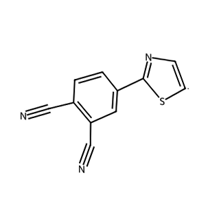 N#Cc1ccc(-c2nc[c]s2)cc1C#N